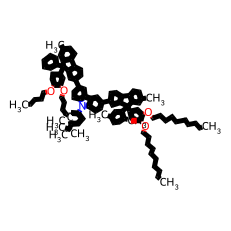 CCCCCCCCCCOc1ccc(C2(c3cc(C)ccc3C)c3cc(C)ccc3-c3ccc(-c4ccc5c(c4)c4cc(-c6ccc7c(c6)C(c6ccccc6)(c6ccc(OCCCCC)c(OCCCCC)c6)c6cc(C)ccc6-7)ccc4n5-c4ccc(C(C)(C)C)cc4)cc32)cc1OCCCCCCCCCC